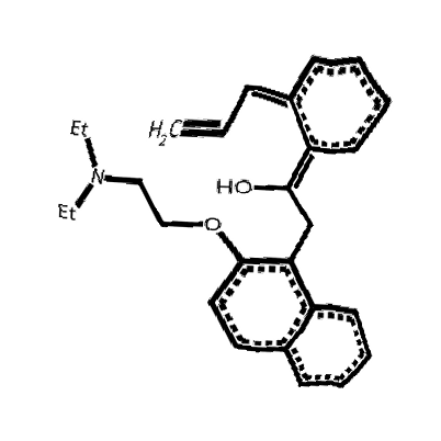 C=C/C=c1/cccc/c1=C(/O)Cc1c(OCCN(CC)CC)ccc2ccccc12